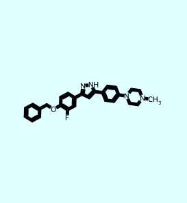 CN1CCN(c2ccc(-c3cc(-c4ccc(OCc5ccccc5)c(F)c4)n[nH]3)cc2)CC1